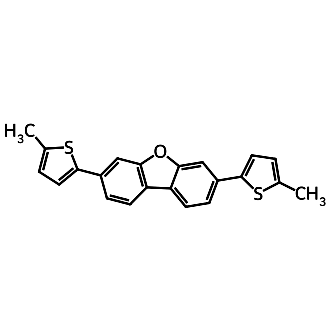 Cc1ccc(-c2ccc3c(c2)oc2cc(-c4ccc(C)s4)ccc23)s1